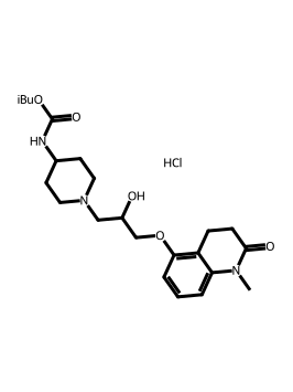 CC(C)COC(=O)NC1CCN(CC(O)COc2cccc3c2CCC(=O)N3C)CC1.Cl